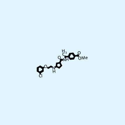 COC(=O)c1ccc(C(C)NC(=O)C2CCC(NCCOc3cccc(Cl)c3)C2)cc1